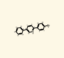 Brc1ccc(-c2ccc(-c3ccccc3)cn2)cc1